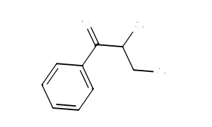 CC(=O)CC(C(C)=O)C(=O)c1ccccc1